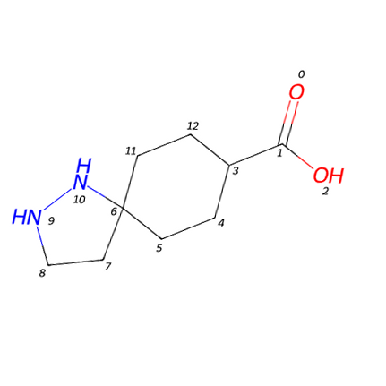 O=C(O)C1CCC2(CCNN2)CC1